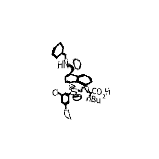 CCCCC(C(=O)O)N(c1cccc2c(C(=O)NCC3CCCCC3)cccc12)S(=O)(=O)c1cc(Cl)cc(Cl)c1